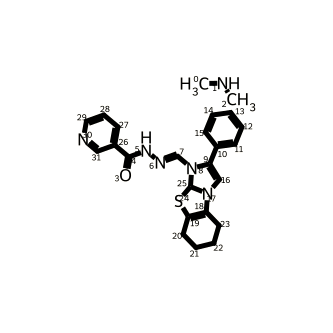 CNC.O=C(NN=CN1C(c2ccccc2)=CN2C3=C(CCCC3)SC12)c1cccnc1